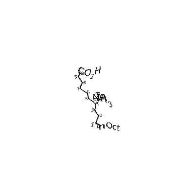 CCCCCCCCCCCCCCCCCC(=O)O.[AlH3].[Zn]